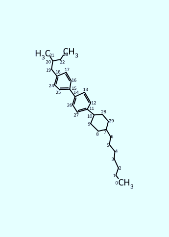 CCCCCCCC1CCC(c2ccc(-c3ccc(CC(C)CC)cc3)cc2)CC1